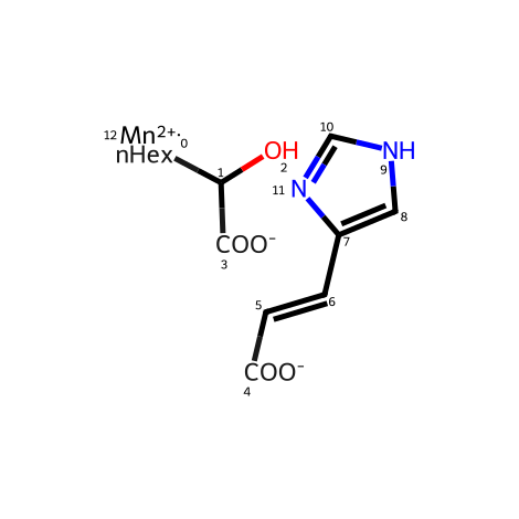 CCCCCCC(O)C(=O)[O-].O=C([O-])C=Cc1c[nH]cn1.[Mn+2]